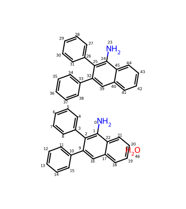 Nc1c(-c2ccccc2)c(-c2ccccc2)cc2ccccc12.Nc1c(-c2ccccc2)c(-c2ccccc2)cc2ccccc12.O